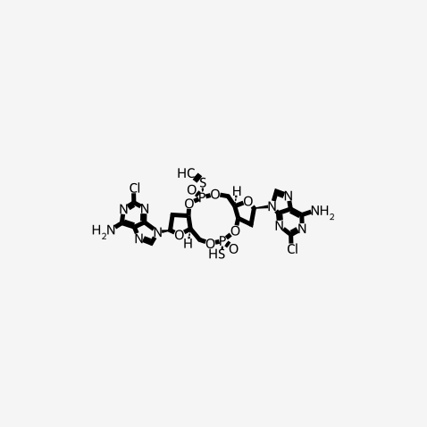 C#S[P@]1(=O)OC[C@H]2O[C@@H](n3cnc4c(N)nc(Cl)nc43)CC2O[P@](=O)(S)OC[C@H]2O[C@@H](n3cnc4c(N)nc(Cl)nc43)CC2O1